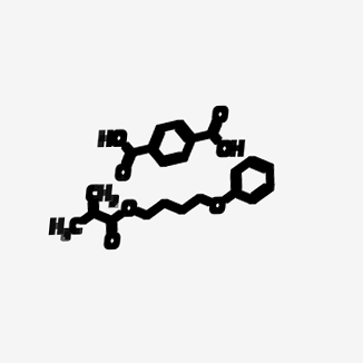 C=C(C)C(=O)OCCCCOc1ccccc1.O=C(O)c1ccc(C(=O)O)cc1